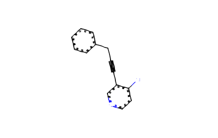 Nc1ccncc1C#CCc1ccccc1